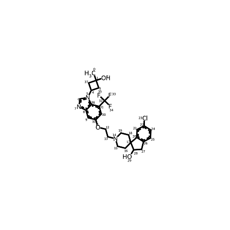 CC1(O)CC(n2cnc3cc(OCCN4CCC5(CC4)c4cc(Cl)ccc4CC5O)cc(C(F)(F)F)c32)C1